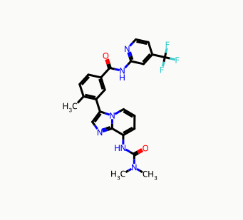 Cc1ccc(C(=O)Nc2cc(C(F)(F)F)ccn2)cc1-c1cnc2c(NC(=O)N(C)C)cccn12